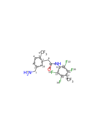 NCc1ccc(C(F)(F)F)c(CC(=O)Nc2c(F)c(F)c(C(F)(F)F)c(F)c2F)c1